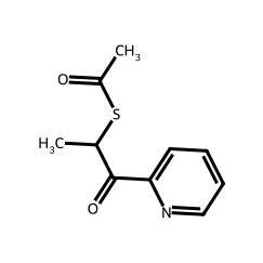 CC(=O)SC(C)C(=O)c1ccccn1